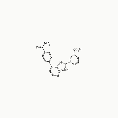 NC(=O)c1ccc(-c2ccnc3[nH]c(-c4cccc(C(=O)O)c4)nc23)cc1